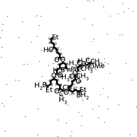 BC(CC)CCC(CCCC(=O)C(C)(C)OC(CCCC(=O)C(C)(C)OCCC(C)(C)OCC(C)(C)OC)CCC(B)CC)OC(=O)CCCC(CC(B)CCC)OC(=O)CCCC(O)C/C=C\CC